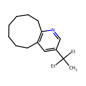 CCC(C)(CC)c1cnc2c(c1)CCCCCCC2